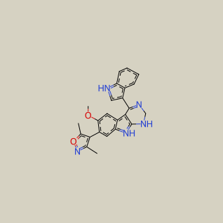 COc1cc2c3c([nH]c2cc1-c1c(C)noc1C)NCN=C3c1c[nH]c2ccccc12